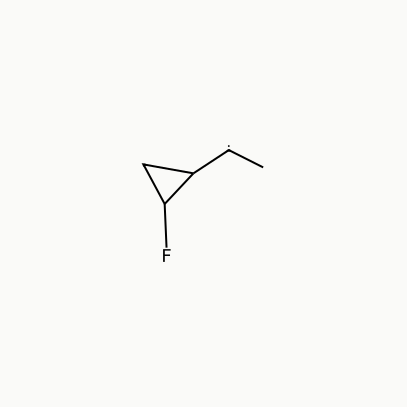 C[CH]C1CC1F